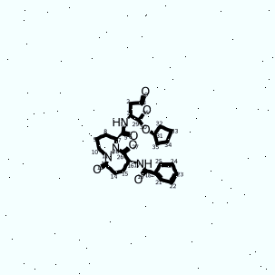 O=C1C[C@H](NC(=O)[C@@H]2CCCN3C(=O)CC[C@H](NC(=O)c4ccccc4)C(=O)N23)C(OC2CCCC2)O1